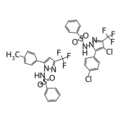 Cc1ccc(-c2cc(C(F)(F)F)nn2NS(=O)(=O)c2ccccc2)cc1.O=S(=O)(Nn1nc(C(F)(F)F)c(Cl)c1-c1ccc(Cl)cc1)c1ccccc1